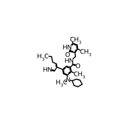 CCC/C=C(\C=N)c1cc(C(=O)NCc2c(C)cc(C)[nH]c2=O)c(C)c(N(C)C2CCCCC2)c1